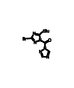 CC(C)(C)c1nc(Br)nn1C(=O)n1cncn1